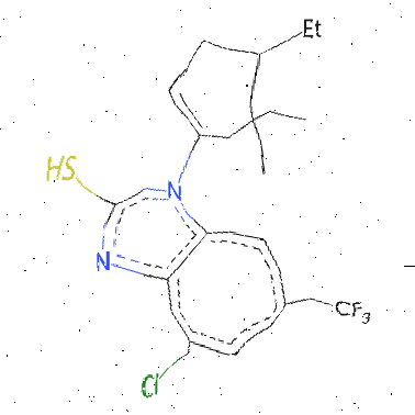 CCC1CC=C(n2c(S)nc3c(Cl)cc(C(F)(F)F)cc32)C1(C)C